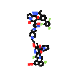 C#Cc1c(F)ccc2cc(O)cc(-c3ncc4c(N5CC6CCC(C5)N6C(=O)OC(C)(C)C)nc(OCCN5CCC6(CC5)CN(c5cc(C(C(=O)N7CCCC7C(=O)NC(C)c7ccc(-c8c(F)cc(F)cc8F)cc7)C(C)C)on5)C6)nc4c3F)c12